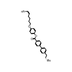 CCC/C=C\CCCCOc1ccc(OC(=O)c2ccc(-c3ccc(CC[C@@H](C)CC)cc3)cc2)cc1